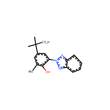 CC(C)(C)c1cc(C(C)(C)C(=O)O)cc(-n2nc3ccccc3n2)c1O